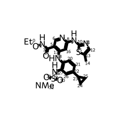 CCONC(=O)c1cnc(Nc2ncc(C)s2)cc1Nc1ccc(C2CC2)cc1NS(=O)(=O)NC